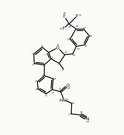 CC1c2c(cccc2-c2cccc(C(=O)NCCC#N)c2)OC1Cc1cccc(C(F)(F)F)c1